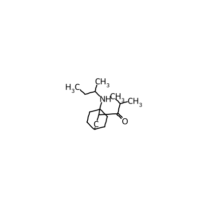 CCC(C)NC12CCC(CC1)CC2C(=O)C(C)C